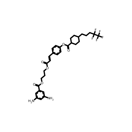 Nc1cc(N)cc(C(=O)OCCCOC(=O)C=Cc2ccc(OC(=O)C3CCC(CCCC(F)(F)C(F)(F)F)CC3)cc2)c1